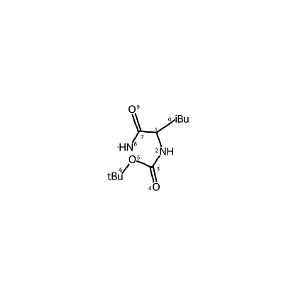 CCC(C)C(NC(=O)OC(C)(C)C)C([NH])=O